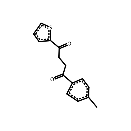 Cc1ccc(C(=O)CCC(=O)c2cccs2)cc1